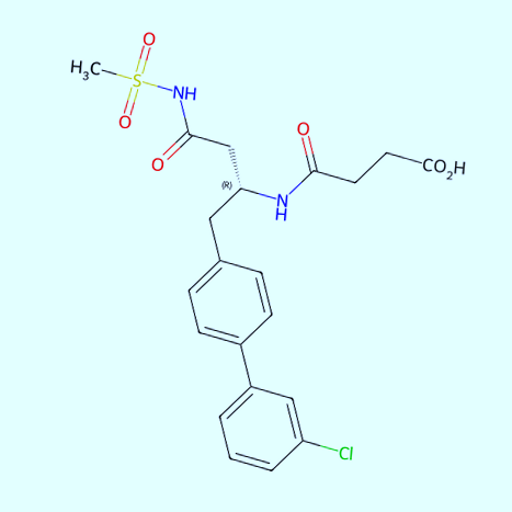 CS(=O)(=O)NC(=O)C[C@@H](Cc1ccc(-c2cccc(Cl)c2)cc1)NC(=O)CCC(=O)O